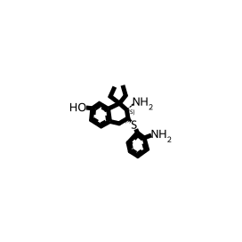 CCC1(CC)c2cc(O)ccc2C[C@H](Sc2ccccc2N)[C@H]1N